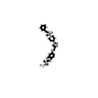 NS(=O)(=O)c1nc2ccc(OCc3cn(C4CCN(S(=O)(=O)C=Cc5ccccc5)CC4)nn3)cc2s1